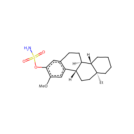 CC[C@@]12CCCC[C@H]1[C@@H]1CCc3cc(OS(N)(=O)=O)c(OC)cc3[C@H]1CC2